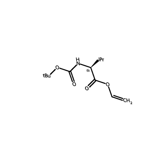 C=COC(=O)[C@@H](NC(=O)OC(C)(C)C)C(C)C